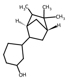 CC1[C@H]2C[C@@H](CC2C2CCCC(O)C2)C1(C)C